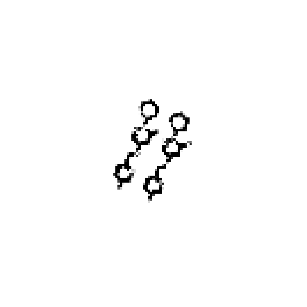 O=c1cc(OCc2ccc(F)cn2)cnn1C1CCCCO1.O=c1cc(OCc2ccc(F)cn2)cnn1C1CCCCO1